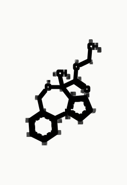 CCOC(=O)C1(C)OCc2ccccc2-n2cccc21